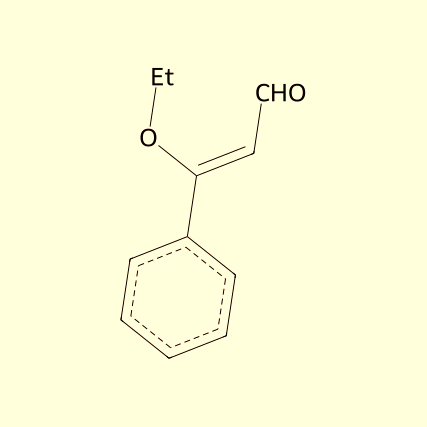 CCOC(=CC=O)c1ccccc1